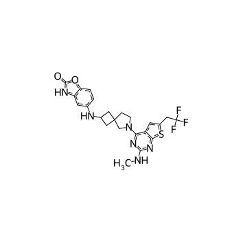 CNc1nc(N2CCC3(CC(Nc4ccc5oc(=O)[nH]c5c4)C3)C2)c2cc(CC(F)(F)F)sc2n1